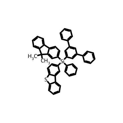 CC1(C)c2ccccc2-c2ccc([Si](c3ccccc3)(c3cc(-c4ccccc4)cc(-c4ccccc4)c3)c3ccc4sc5ccccc5c4c3)cc21